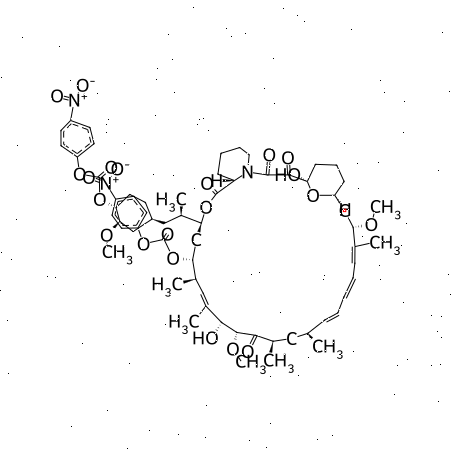 CO[C@H]1C[C@@H]2CCC[C@@](O)(O2)C(=O)C(=O)N2CCCC[C@H]2C(=O)O[C@H]([C@H](C)C[C@@H]2CC[C@@H](OC(=O)Oc3ccc([N+](=O)[O-])cc3)[C@H](OC)C2)C[C@@H](OC(=O)Oc2ccc([N+](=O)[O-])cc2)[C@H](C)/C=C(\C)[C@@H](O)[C@@H](OC)C(=O)[C@H](C)C[C@H](C)/C=C/C=C/C=C/1C